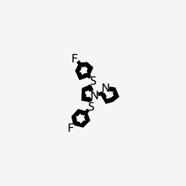 Fc1ccc(Sc2ccc(Sc3ccc(F)cc3)n2-c2ccccn2)cc1